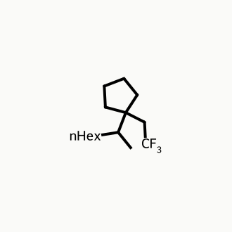 CCCCCCC(C)C1(CC(F)(F)F)CCCC1